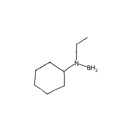 BN(CC)C1CCCCC1